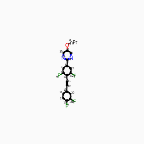 CCCOc1cnc(-c2cc(F)c(C#Cc3ccc(F)c(F)c3)c(F)c2)nc1